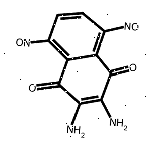 NC1=C(N)C(=O)c2c(N=O)ccc(N=O)c2C1=O